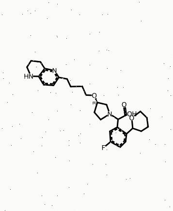 O=C(O)C(c1cc(F)ccc1C1CCCCO1)N1CC[C@@H](OCCCCc2ccc3c(n2)CCCN3)C1